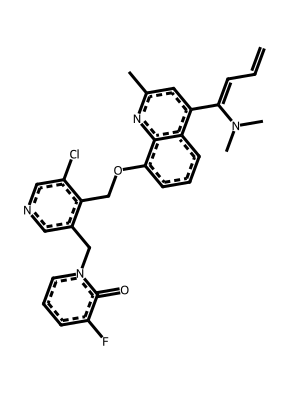 C=C/C=C(/c1cc(C)nc2c(OCc3c(Cl)cncc3Cn3cccc(F)c3=O)cccc12)N(C)C